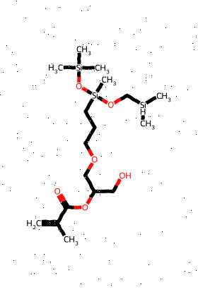 C=C(C)C(=O)OC(CO)COCCC[Si](C)(OC[SiH](C)C)O[Si](C)(C)C